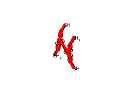 C=CCCCCOc1ccc(C(=O)Oc2ccc(OC(=O)c3ccc(OCCCCCCS)cc3)cc2C(=O)OCCCCCCOC(=O)c2cc(OC(=O)c3ccc(OCCCCCCS)cc3)ccc2OC(=O)c2ccc(OCCCCC=C)cc2)cc1